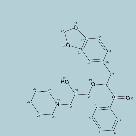 O=C(c1ccccc1)C(Cc1ccc2c(c1)OCO2)OCC(O)CN1CCCCC1